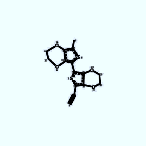 C#Cc1sc(-c2sc(C)c3c2OCCO3)c2c1OCCO2